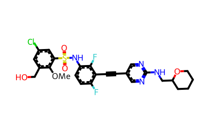 COc1c(CO)cc(Cl)cc1S(=O)(=O)Nc1ccc(F)c(C#Cc2cnc(NCC3CCCCO3)nc2)c1F